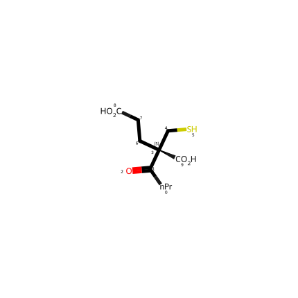 CCCC(=O)[C@@](CS)(CCC(=O)O)C(=O)O